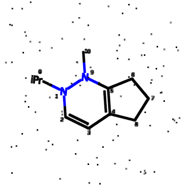 CC(C)N1C=CC2=C(CCC2)N1C